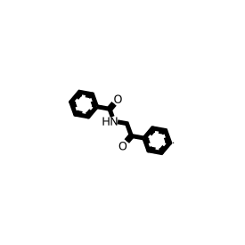 O=C(CNC(=O)c1ccccc1)c1cc[c]cc1